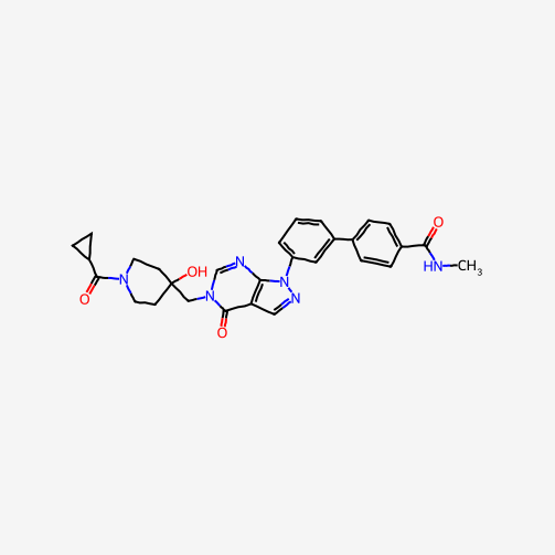 CNC(=O)c1ccc(-c2cccc(-n3ncc4c(=O)n(CC5(O)CCN(C(=O)C6CC6)CC5)cnc43)c2)cc1